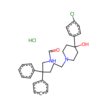 Cl.O=CNCC(CCCN1CCC(O)(c2ccc(Cl)cc2)CC1)(c1ccccc1)c1ccccc1